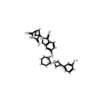 O=C1NC(=O)C2(N3Cc4cc(O[C@@H]5CCCC[C@H]5N5CC(c6cccc(F)c6)C5)ccc4C3=O)CC1C2